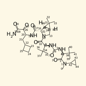 CN(C(=O)[C@@H](NC(=O)N[C@H](C(=O)N1C[C@H]2[C@@H]([C@H]1C(=O)NC(CC1CCC1)C(=O)C(N)=O)C2(C)C)C(C)(C)C)C(C)(C)C)C1CC1